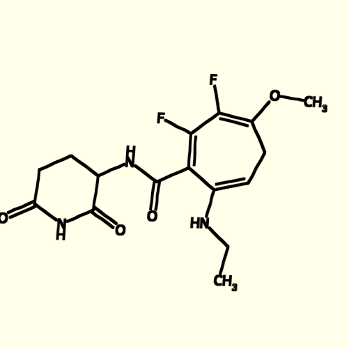 CCNC1=CCC(OC)=C(F)C(F)=C1C(=O)NC1CCC(=O)NC1=O